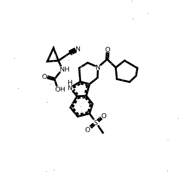 CS(=O)(=O)c1ccc2[nH]c3c(c2c1)CN(C(=O)C1CCCCC1)CC3.N#CC1(NC(=O)O)CC1